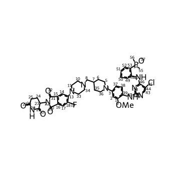 COc1cc(N2CCC(CN3CCN(c4cc5c(cc4F)C(=O)N(C4CCC(=O)NC4=O)C5=O)CC3)CC2)ccc1Nc1ncc(Cl)c(Nc2ccccc2P(C)(C)=O)n1